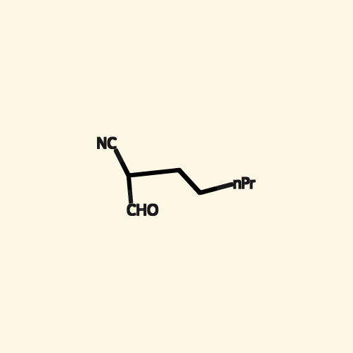 CCCCCC(C#N)C=O